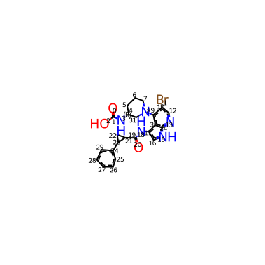 O=C(O)N[C@@H]1CCCN(c2c(Br)cnc3[nH]cc(NC(=O)C4CC4c4ccccc4)c23)C1